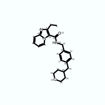 CCc1nc2ccccn2c1C(=O)NCc1ccc(CC2CCOCC2)cc1